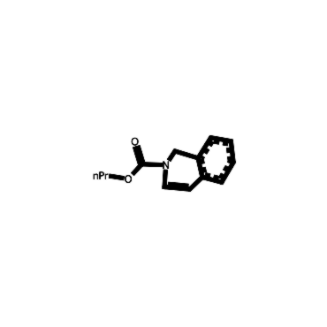 CCCOC(=O)N1C=Cc2ccccc2C1